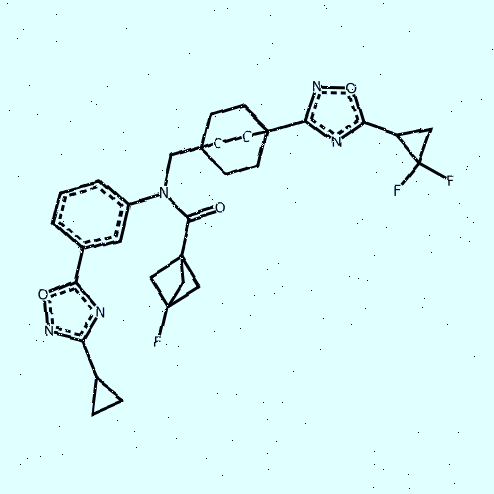 O=C(N(CC12CCC(c3noc(C4CC4(F)F)n3)(CC1)CC2)c1cccc(-c2nc(C3CC3)no2)c1)C12CC(F)(C1)C2